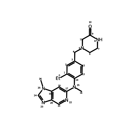 CCc1cc(CN2CCNC(=O)C2)ccc1N(C)c1cc2c(cn1)ncn2C